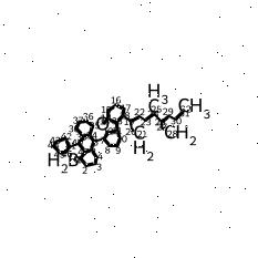 Bc1cccc2c(-c3cccc4c3oc3cccc(/C(C=C)=C/C=C(C)/C(C=C)=C/C=C\C)c34)c3ccccc3c(-c3ccccc3)c12